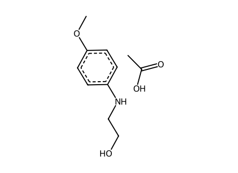 CC(=O)O.COc1ccc(NCCO)cc1